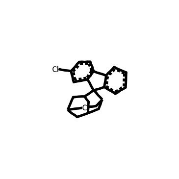 Clc1ccc2c(c1)C1(c3ccccc3-2)C2CCC3CC(C2)CC1C3